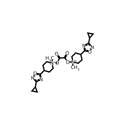 C[N+]1(OC(=O)C(=O)O[N+]2(C)CCC(c3nc(C4CC4)no3)CC2)CCC(c2nc(C3CC3)no2)CC1